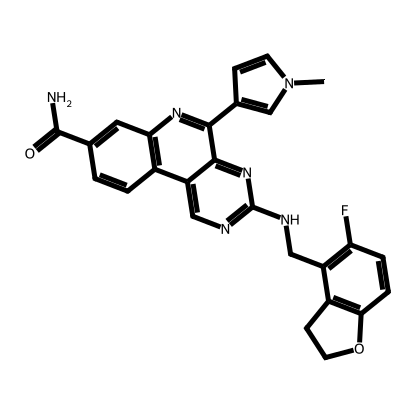 Cn1ccc(-c2nc3cc(C(N)=O)ccc3c3cnc(NCc4c(F)ccc5c4CCO5)nc23)c1